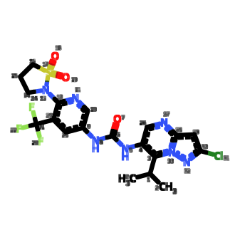 CC(C)c1c(NC(=O)Nc2cnc(N3CCCS3(=O)=O)c(C(F)(F)F)c2)cnc2cc(Cl)nn12